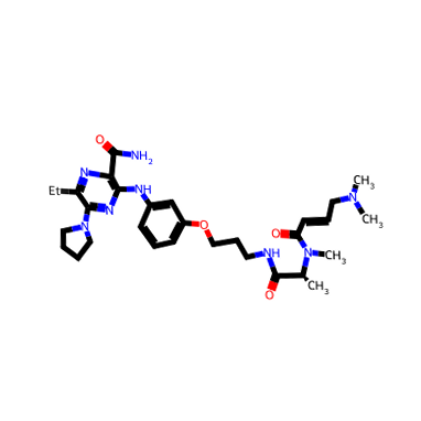 CCc1nc(C(N)=O)c(Nc2cccc(OCCCNC(=O)[C@H](C)N(C)C(=O)/C=C/CN(C)C)c2)nc1N1CCCC1